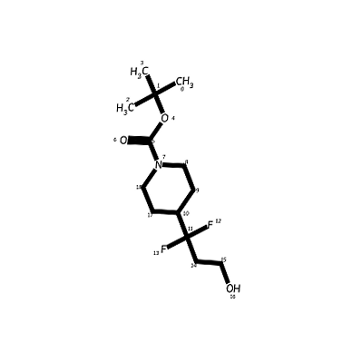 CC(C)(C)OC(=O)N1CCC(C(F)(F)CCO)CC1